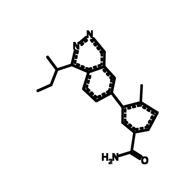 CCC(C)c1nncc2cc(-c3cc(C(N)=O)ccc3C)ccc12